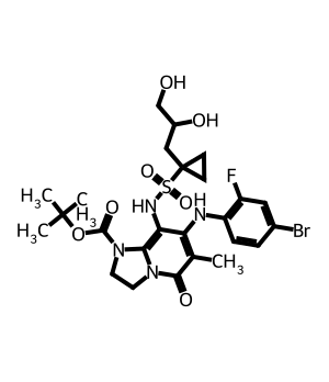 Cc1c(Nc2ccc(Br)cc2F)c(NS(=O)(=O)C2(CC(O)CO)CC2)c2n(c1=O)CCN2C(=O)OC(C)(C)C